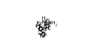 CC1=CC(N)N(C(=N)Cl)N=C1Oc1cc(C(F)(F)F)ccc1-c1cccnc1C